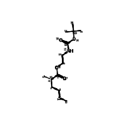 CSCC[C@H](C)C(=O)OCCNC(=O)OC(C)(C)C